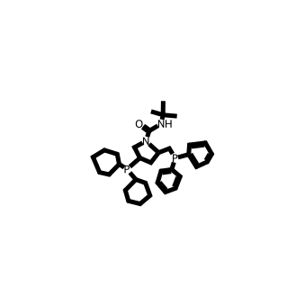 CC(C)(C)NC(=O)N1CC(P(C2CCCCC2)C2CCCCC2)CC1CP(c1ccccc1)c1ccccc1